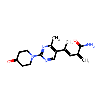 C=C(/C=C(\C)c1cnc(N2CCC(=O)CC2)nc1C)C(N)=O